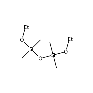 CCO[Si](C)(C)O[Si](C)(C)OCC